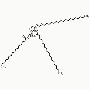 CCCCCCCCCCCCCCCCCCOCO[C@H]1CO[C@H]([C@H](O)COC(=O)CCCCCCCCCCCCCCC)[C@@H]1OC(=O)CCCCCCCCCCCCCCCCCC